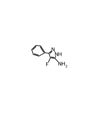 Nc1[nH]nc(-c2ccccc2)c1F